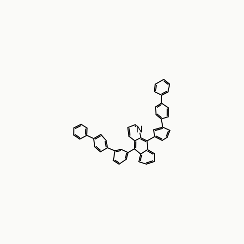 c1ccc(-c2ccc(-c3cccc(-c4c5ccccc5c(-c5cccc(-c6ccc(-c7ccccc7)cc6)c5)c5ncccc45)c3)cc2)cc1